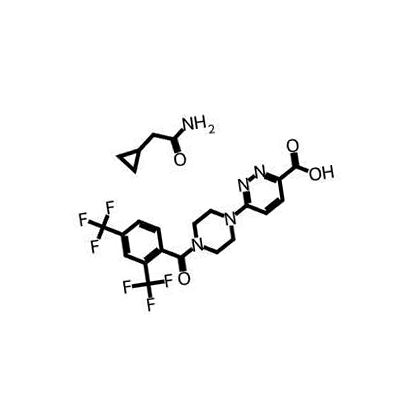 NC(=O)CC1CC1.O=C(O)c1ccc(N2CCN(C(=O)c3ccc(C(F)(F)F)cc3C(F)(F)F)CC2)nn1